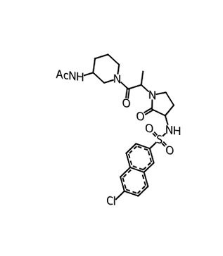 CC(=O)NC1CCCN(C(=O)C(C)N2CCC(NS(=O)(=O)c3ccc4cc(Cl)ccc4c3)C2=O)C1